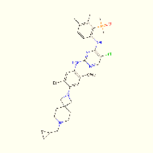 CCc1cc(Nc2ncc(Cl)c(Nc3ccc(C)c(C)c3P(C)(C)=O)n2)c(OC)cc1N1CC2(CCN(CC3CC3)CC2)C1